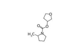 CC1CCCN1C(=O)OC1CCOC1